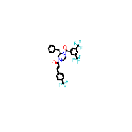 O=C(/C=C/c1ccc(C(F)(F)F)cc1)N1CCN(C(=O)c2cc(C(F)(F)F)cc(C(F)(F)F)c2)[C@H](Cc2ccccc2)C1